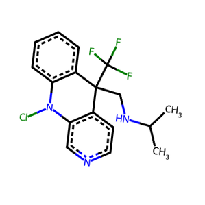 CC(C)NCC1(C(F)(F)F)c2ccccc2N(Cl)c2cnccc21